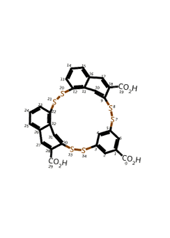 O=C(O)c1cc2cc(c1)SSc1cc3c(cccc3cc1C(=O)O)SSc1cccc3cc(C(=O)O)c(cc13)SS2